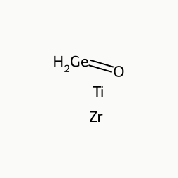 [O]=[GeH2].[Ti].[Zr]